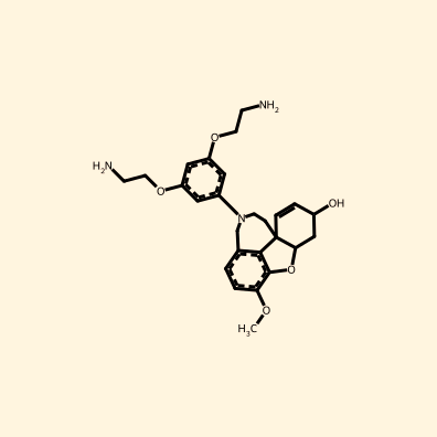 COc1ccc2c3c1OC1CC(O)C=CC31CCN(c1cc(OCCN)cc(OCCN)c1)C2